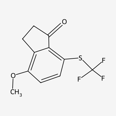 COc1ccc(SC(F)(F)F)c2c1CCC2=O